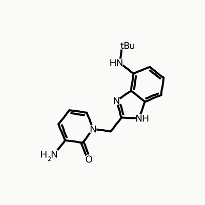 CC(C)(C)Nc1cccc2[nH]c(Cn3cccc(N)c3=O)nc12